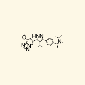 COc1cc(-c2[nH]nc(-c3ccc([C@H](C)N(C)C(C)C)cc3)c2C(C)C)cn2ncnc12